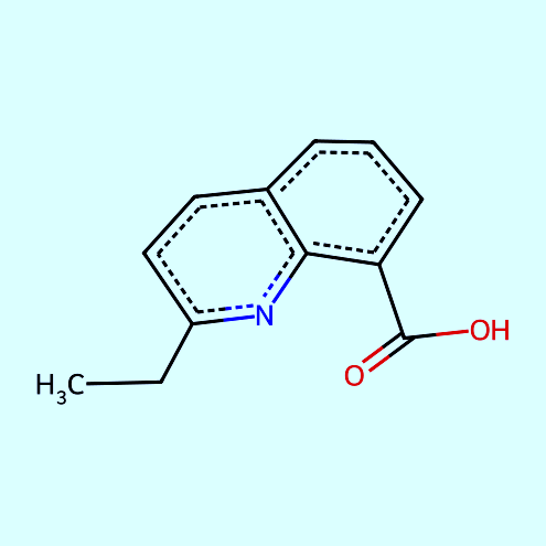 CCc1ccc2cccc(C(=O)O)c2n1